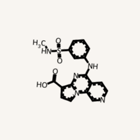 CNS(=O)(=O)c1cccc(Nc2nc3c(C(=O)O)ccn3c3cnccc23)c1